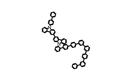 c1ccc(-c2ccc(-n3c4ccccc4c4cc(-c5ccc6c(c5)c5ccccc5n6-c5ccccc5-c5ccc(-c6ccc(-c7cccc(-c8cccc(-c9ccc(-c%10cccc(-c%11ccccc%11)c%10)cc9)c8)c7)cc6)cc5)ccc43)cc2)cc1